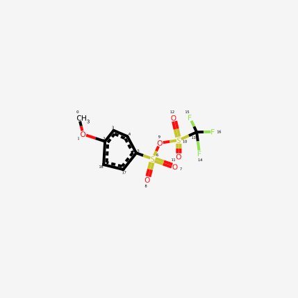 COc1ccc(S(=O)(=O)OS(=O)(=O)C(F)(F)F)cc1